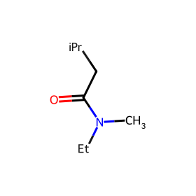 CCN(C)C(=O)CC(C)C